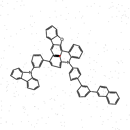 c1cc(-c2ccc(N(c3ccc(-c4cccc(-n5c6ccccc6c6ccccc65)c4)cc3)c3ccccc3-c3cccc4c3oc3ccccc34)cc2)cc(-c2ccc3ccccc3c2)c1